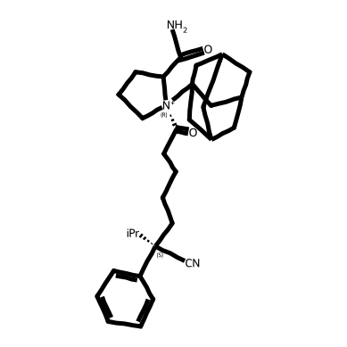 CC(C)[C@@](C#N)(CCCCC(=O)[N@+]1(C23CC4CC(CC(C4)C2)C3)CCCC1C(N)=O)c1ccccc1